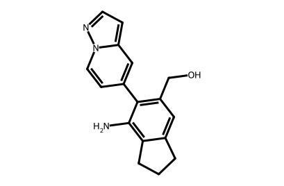 Nc1c2c(cc(CO)c1-c1ccn3nccc3c1)CCC2